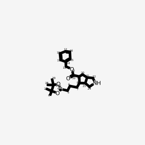 CC1(C)OB(CCCC2C(C(=O)OCc3ccccc3)CC3CNCC32)OC1(C)C